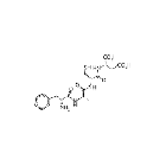 C[C@H](NC(=O)[C@@H](N)Cc1ccccc1)C(=O)N[C@@H](CS)C(=O)N[C@@H](CC(=O)O)C(=O)O